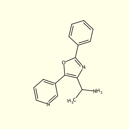 CC(N)c1nc(-c2ccccc2)oc1-c1cccnc1